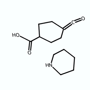 C1CCNCC1.O=C=C1CCC(C(=O)O)CC1